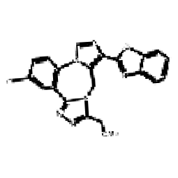 COCc1nnc2n1Cc1c(-c3nc4ccccc4o3)ncn1-c1ccc(Cl)cc1-2